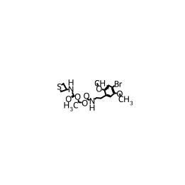 COc1cc(CCNC(=O)OC(C)OC(=O)NC2CSC2)c(OC)cc1Br